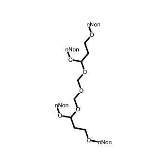 CCCCCCCCCOCCC(OCCCCCCCCC)OCOCOC(CCOCCCCCCCCC)OCCCCCCCCC